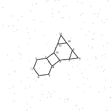 C1CCC2C(C1)C1C3CC3C3CC3C21